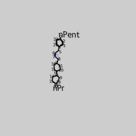 CCCCCc1ccc(C/C=C\CC2CCC(C3CCC(CCC)CC3)CC2)cc1